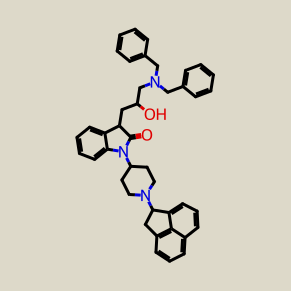 O=C1C(CC(O)CN(Cc2ccccc2)Cc2ccccc2)c2ccccc2N1C1CCN(C2Cc3cccc4cccc2c34)CC1